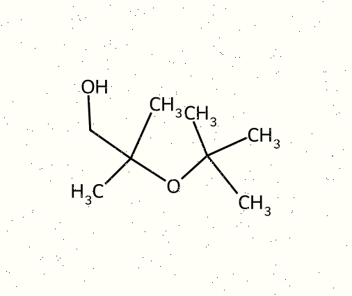 CC(C)(C)OC(C)(C)CO